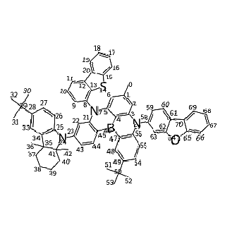 Cc1cc2c3c(c1)N(c1cccc4c1sc1ccccc14)c1cc(N4c5ccc(C(C)(C)C)cc5C5(C)CCCCC45C)ccc1B3c1cc(C(C)(C)C)ccc1N2c1ccc2c(c1)oc1ccccc12